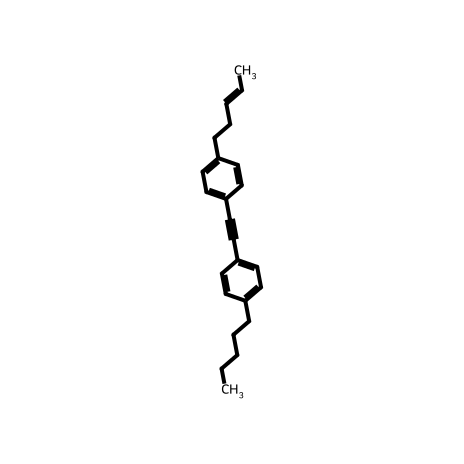 CC=CCCc1ccc(C#Cc2ccc(CCCCC)cc2)cc1